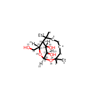 CCC1(C)CCCCC(C)(CC)C2[C@@H](CO)O[C@H](O1)[C@H](O)[C@H]2O